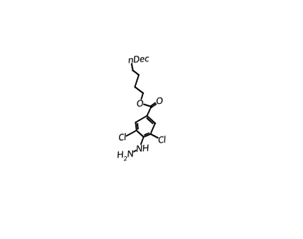 CCCCCCCCCCCCCCOC(=O)c1cc(Cl)c(NN)c(Cl)c1